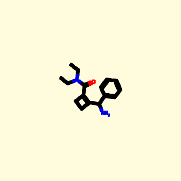 CCN(CC)C(=O)C1=C(C(N)c2ccccc2)CC1